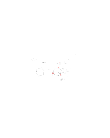 COC(=O)c1ccc(Cl)cc1NC(=O)C1=C(O)[C@H](C)[C@]23CCN(CC4CC4)[C@H](Cc4ccc(O)c(O)c42)[C@]3(O)C1